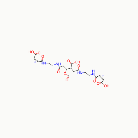 O=COC(CC(=O)NCCNC(=O)/C=C\C(=O)O)C(CC(=O)NCCNC(=O)/C=C\C(=O)O)C(=O)O